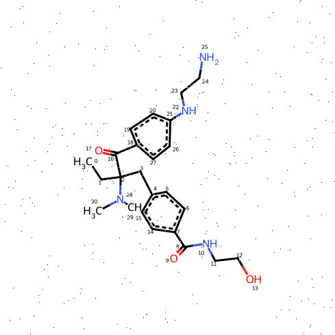 CCC(Cc1ccc(C(=O)NCCO)cc1)(C(=O)c1ccc(NCCN)cc1)N(C)C